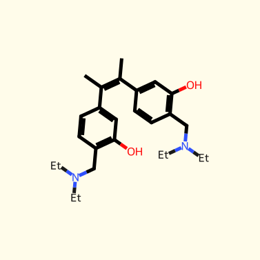 CCN(CC)Cc1ccc(/C(C)=C(/C)c2ccc(CN(CC)CC)c(O)c2)cc1O